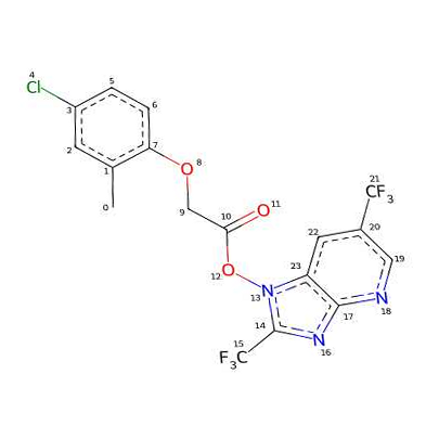 Cc1cc(Cl)ccc1OCC(=O)On1c(C(F)(F)F)nc2ncc(C(F)(F)F)cc21